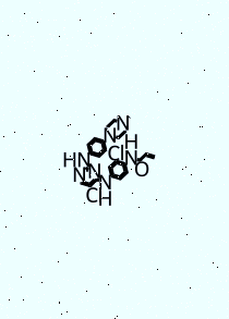 C=CC(=O)Nc1ccc(Nc2nc(Nc3ccc(N4CCN(C)CC4)cc3)ncc2Cl)cc1Cl